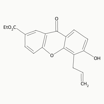 C=CCc1c(O)ccc2c(=O)c3cc(C(=O)OCC)ccc3oc12